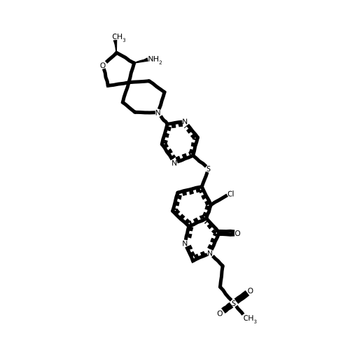 C[C@@H]1OCC2(CCN(c3cnc(Sc4ccc5ncn(CCS(C)(=O)=O)c(=O)c5c4Cl)cn3)CC2)[C@@H]1N